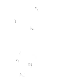 CN1C(=O)C[C@]2(CCc3ccc(NC(=O)c4ncccc4C(F)(F)F)cc32)N=C1N